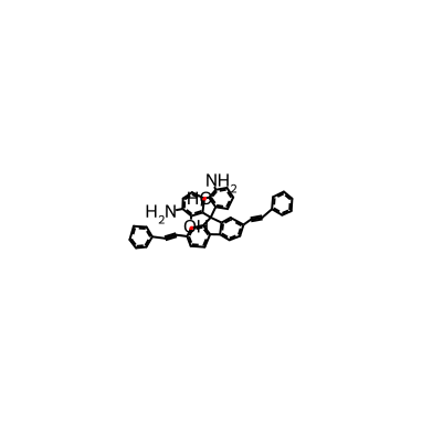 Nc1cccc(C2(c3cccc(N)c3O)c3cc(C#Cc4ccccc4)ccc3-c3ccc(C#Cc4ccccc4)cc32)c1O